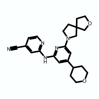 N#Cc1ccnc(Nc2cc(C3CCOCC3)cc(N3CCC4(CCOC4)C3)n2)c1